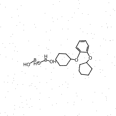 OBOBO.c1ccc(OC2CCCCC2)c(OC2CCCCC2)c1